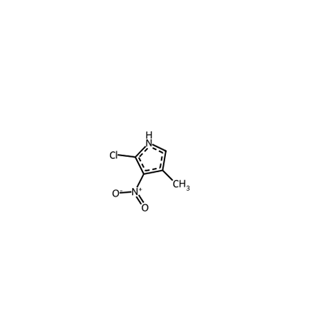 Cc1c[nH]c(Cl)c1[N+](=O)[O-]